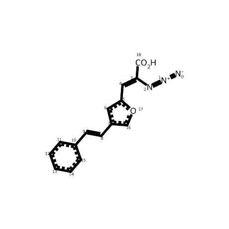 [N-]=[N+]=NC(=Cc1cc(C=Cc2ccccc2)co1)C(=O)O